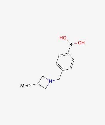 COC1CN(Cc2ccc(B(O)O)cc2)C1